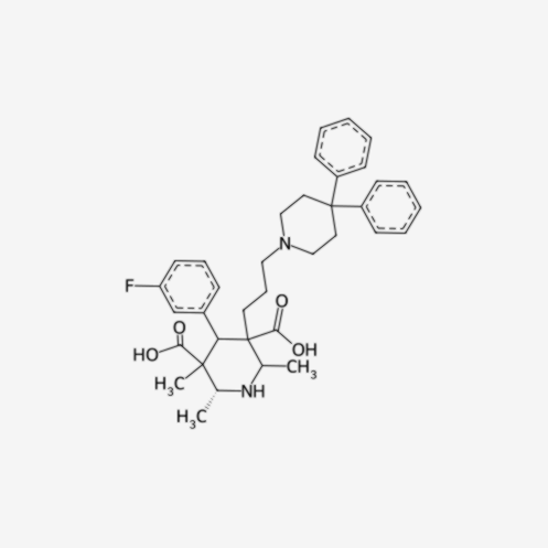 CC1N[C@H](C)C(C)(C(=O)O)C(c2cccc(F)c2)C1(CCCN1CCC(c2ccccc2)(c2ccccc2)CC1)C(=O)O